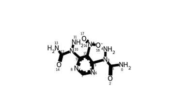 NC(=O)N(N)c1ncnc(N(N)C(N)=O)c1[N+](=O)[O-]